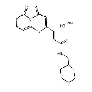 Cl.Cl.O=C(C=CC1=Cc2cnc3cccc(n23)S1)NCC1CCNCC1